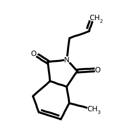 C=CCN1C(=O)C2CC=CC(C)C2C1=O